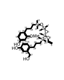 C=CO[Si](C)(O[Si](C)(C)O[Si](C)(C)CCCc1ccc(O)cc1OC)[Si](C)(C)CCCc1ccc(O)cc1CO